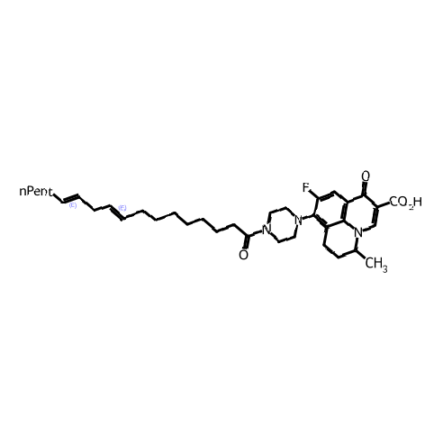 CCCCC/C=C/C/C=C/CCCCCCCC(=O)N1CCN(c2c(F)cc3c(=O)c(C(=O)O)cn4c3c2CCC4C)CC1